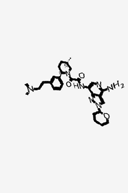 C[C@H]1CC[C@H](c2cccc(CCN(C)C)c2)N(C(=O)C(=O)Nc2cnc(N)c3cn(C4CCCCO4)nc23)C1